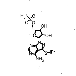 CC(C)Sc1nn([C@@H]2O[C@H](COS(N)(=O)=O)[C@@H](O)[C@H]2O)c2ncnc(N)c12